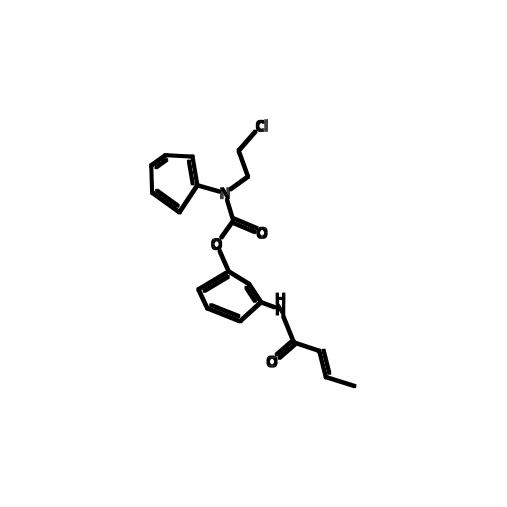 C/C=C/C(=O)Nc1cccc(OC(=O)N(CCCl)c2ccccc2)c1